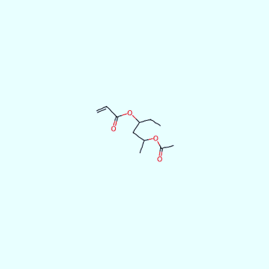 C=CC(=O)OC(CC)CC(C)OC(C)=O